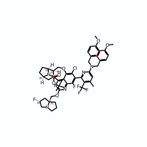 COc1ccc(CN(Cc2ccc(OC)cc2)c2cc(C)c(C(F)(F)F)c(-c3c(Cl)c4c5c(nc(OC[C@@]67CCCN6C[C@H](F)C7)nc5c3F)N3C[C@H]5CC[C@@H]([C@H]3CO4)N5C(=O)OC(C)(C)C)n2)cc1